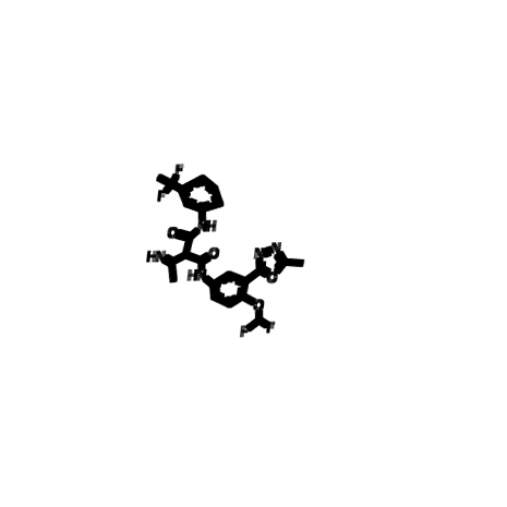 CC(=N)C(C(=O)Nc1cccc(C(C)(F)F)c1)C(=O)Nc1ccc(OC(F)F)c(-c2nnc(C)o2)c1